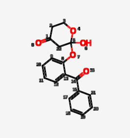 O=C1CCOC(O)(Oc2ccccc2C(=O)c2ccccc2)C1